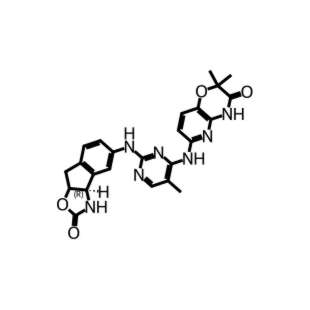 Cc1cnc(Nc2ccc3c(c2)[C@H]2NC(=O)OC2C3)nc1Nc1ccc2c(n1)NC(=O)C(C)(C)O2